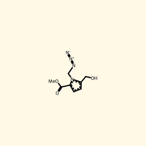 COC(=O)c1ccc(CO)n1CN=[N+]=[N-]